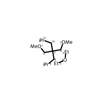 CCOCC.COCC(COC)(CC(C)C)CC(C)C